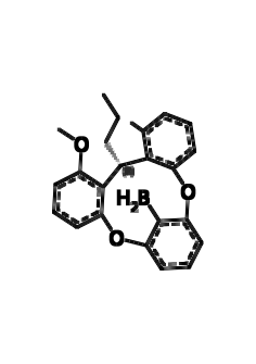 Bc1c2cccc1Oc1cccc(OC)c1[C@H](CCC)c1c(C)cccc1O2